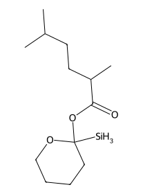 CC(C)CCC(C)C(=O)OC1([SiH3])CCCCO1